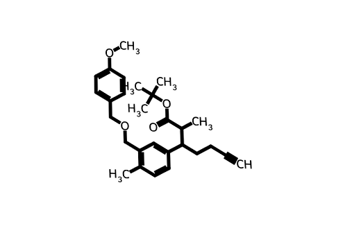 C#CCCC(c1ccc(C)c(COCc2ccc(OC)cc2)c1)C(C)C(=O)OC(C)(C)C